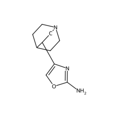 Nc1nc(C2CN3CCC2CC3)co1